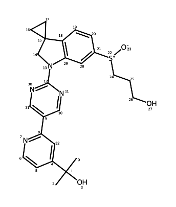 CC(C)(O)c1ccnc(-c2cnc(N3CC4(CC4)c4ccc([S+]([O-])CCCO)cc43)nc2)c1